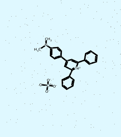 CN(C)c1ccc(-c2cc(-c3ccccc3)[te+]c(-c3ccccc3)c2)cc1.[O-][Cl+3]([O-])([O-])[O-]